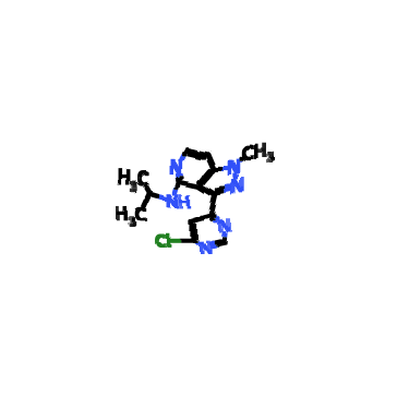 CC(C)Nc1nccc2c1c(-c1cc(Cl)ncn1)nn2C